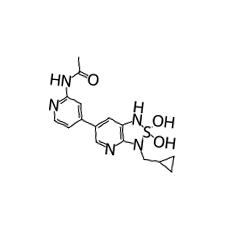 CC(=O)Nc1cc(-c2cnc3c(c2)NS(O)(O)N3CC2CC2)ccn1